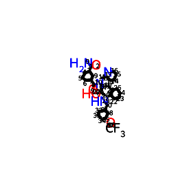 NC(=O)c1cccc(C(=O)N(Cc2ccccn2)[C@@H](Cc2ccccc2)[C@H](O)CNCc2cccc(OC(F)(F)F)c2)c1